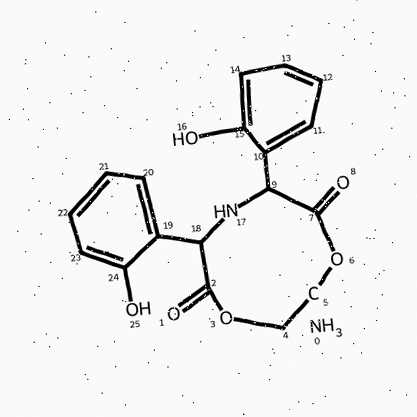 N.O=C1OCCOC(=O)C(c2ccccc2O)NC1c1ccccc1O